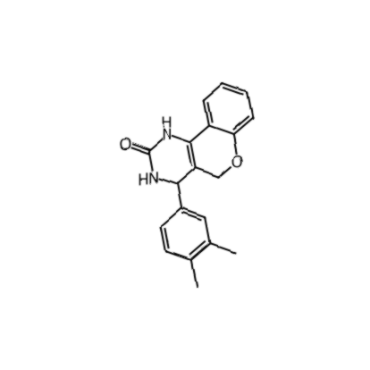 Cc1ccc(C2NC(=O)NC3=C2COc2ccccc23)cc1C